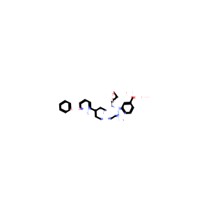 O=C(O)c1ccc2nc(CN3CCC(c4cccc(Oc5ccccc5)n4)CC3)n(C[C@@H]3CCO3)c2c1